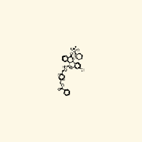 CS(=O)(=O)N[C@H]1CCCC[C@@H]1N1C(=O)c2ccccc2[C@@H](C(=O)NOCc2cnc(COC(=O)c3ccccc3)cn2)[C@@H]1c1ccc(Cl)cc1Cl